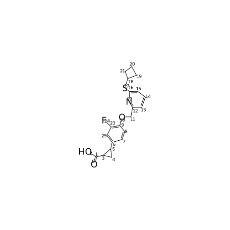 O=C(O)C1CC1c1ccc(OCc2cccc(SC3CCC3)n2)c(F)c1